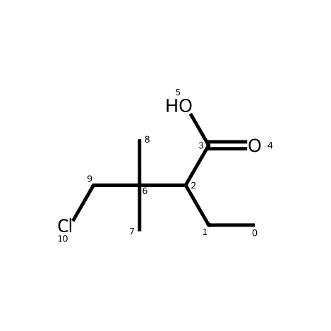 CCC(C(=O)O)C(C)(C)CCl